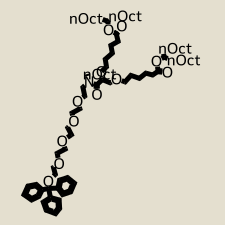 CCCCCCCCC(CCCCCCCC)OC(=O)CCCCCOCC(OCCCCCC(=O)OC(CCCCCCCC)CCCCCCCC)C(=O)N(CCCCCCCC)CCOCCOCCOCCOCCOC(c1ccccc1)(c1ccccc1)c1ccccc1